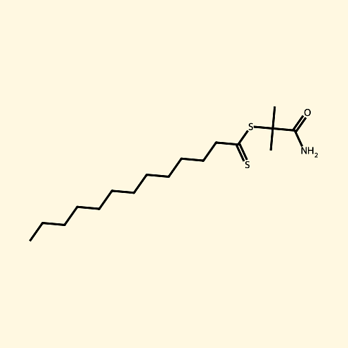 CCCCCCCCCCCCC(=S)SC(C)(C)C(N)=O